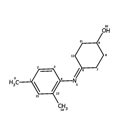 Cc1ccc(N=C2CCC(O)CC2)c(C)c1